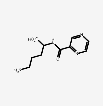 NCCCC(NC(=O)c1cnccn1)C(=O)O